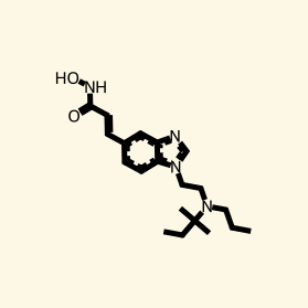 CCCN(CCn1cnc2cc(C=CC(=O)NO)ccc21)C(C)(C)CC